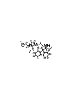 CCc1n([C@H]2CC[C@@H](C(C(N)=O)(c3ccccc3)c3ccccc3)C2)cc[n+]1CCOC